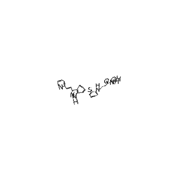 O=C(CCCNc1ccccc1Sc1ccc2c(/C=C/c3ccccn3)n[nH]c2c1)NO